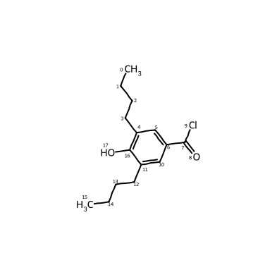 CCCCc1cc(C(=O)Cl)cc(CCCC)c1O